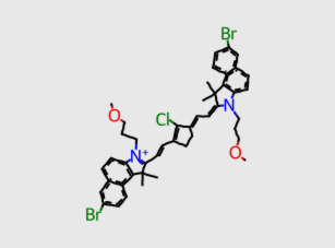 COCCCN1/C(=C/C=C2\CCC(/C=C/C3=[N+](CCCOC)c4ccc5cc(Br)ccc5c4C3(C)C)=C2Cl)C(C)(C)c2c1ccc1cc(Br)ccc21